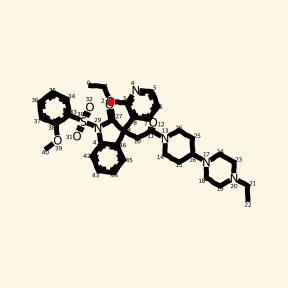 CCOc1ncccc1C1(CC(=O)N2CCC(N3CCN(CC)CC3)CC2)C(=O)N(S(=O)(=O)c2ccccc2OC)c2ccccc21